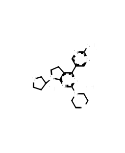 C[C@@H]1COCCN1c1nc(-c2cnc(N)nc2)c2c(n1)N([C@@]1(C)CCNC1)CC2